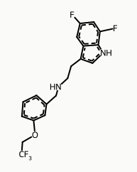 Fc1cc(F)c2[nH]cc(CCNCc3cccc(OCC(F)(F)F)c3)c2c1